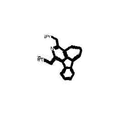 CC(C)Cc1nc(CC(C)C)c2cccc3c2c1-c1ccccc1-3